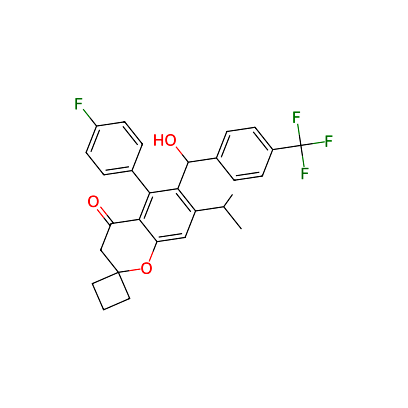 CC(C)c1cc2c(c(-c3ccc(F)cc3)c1C(O)c1ccc(C(F)(F)F)cc1)C(=O)CC1(CCC1)O2